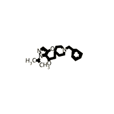 CC(C)n1ncc2c1C(=O)CC1(CCN(Cc3ccccc3)CC1)O2